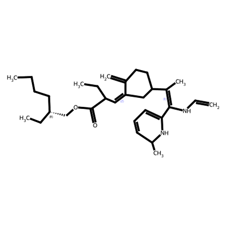 C=CN/C(C1=CC=CC(C)N1)=C(\C)C1CCC(=C)/C(=C\C(CC)C(=O)OC[C@H](CC)CCCC)C1